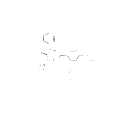 COCOc1cc(OCOC)c(C(=O)N2Cc3ccccc3C2C(=O)NC2CC2)cc1Cl